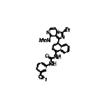 CNc1nccn2c(C(C)C)nc(-c3ccc(NC(=O)Nc4cccc(C(F)(F)F)c4)c4ccccc34)c12